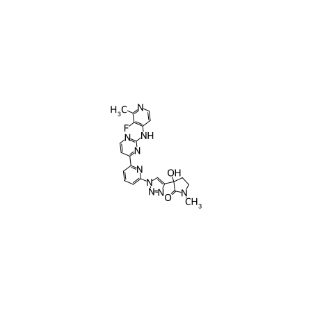 Cc1nccc(Nc2nccc(-c3cccc(-n4cc(C5(O)CCN(C)C5=O)nn4)n3)n2)c1F